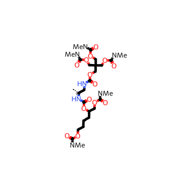 CNC(=O)OCCCCC(COC(=O)NC)OC(=O)N[C@H](C)CNC(=O)OCC(COC(=O)NC)(COC(=O)NC)COC(=O)NC